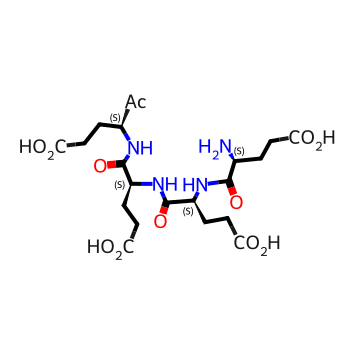 CC(=O)[C@H](CCC(=O)O)NC(=O)[C@H](CCC(=O)O)NC(=O)[C@H](CCC(=O)O)NC(=O)[C@@H](N)CCC(=O)O